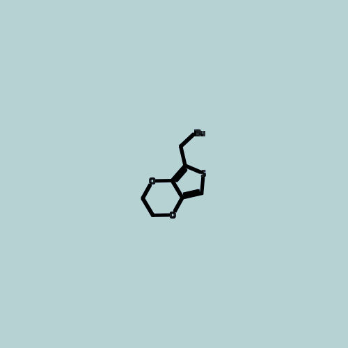 CCC(C)Cc1scc2c1OCCO2